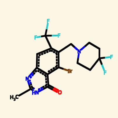 Cc1nc2cc(C(F)(F)F)c(CN3CCC(F)(F)CC3)c(Br)c2c(=O)[nH]1